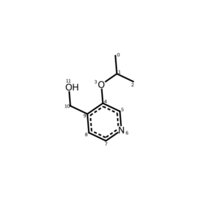 CC(C)Oc1cnccc1CO